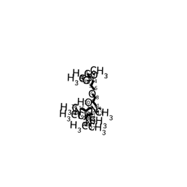 CO[Si](C)(CCCOCC(O)C[N+](C)(CCC[N+](C)(C)C)CCC[N+](C)(C)C)OC